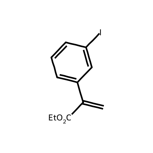 C=C(C(=O)OCC)c1cccc(I)c1